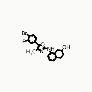 Cc1nc(Nc2cccc3c2CC(O)CC3)oc1-c1ccc(Br)c(F)c1